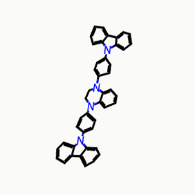 c1ccc2c(c1)N(c1ccc(-n3c4ccccc4c4ccccc43)cc1)CCN2c1ccc(-n2c3ccccc3c3ccccc32)cc1